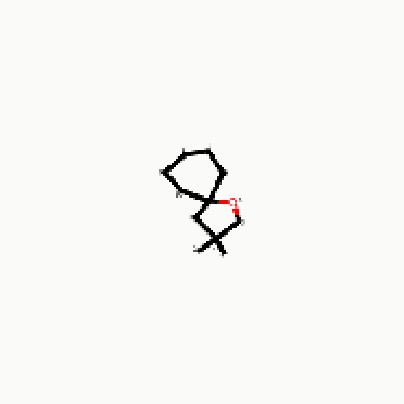 CC1(C)COC2(CCCCC2)C1